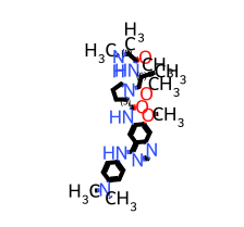 CN[C@@H](C)C(=O)N[C@H](C(=O)N1CCC[C@H]1C(=O)Nc1cc2c(Nc3ccc(N(C)C)cc3)ncnc2cc1OC)C(C)(C)C